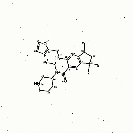 CC(C)CN(C(=O)c1cc2c(nc1NCc1ccco1)C(C)CC2(C)C)C1CCCNC1